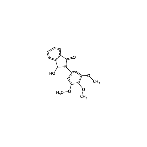 COc1cc(N2C(=O)c3ccccc3C2O)cc(OC)c1OC